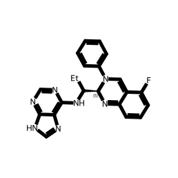 CCC(Nc1ncnc2[nH]cnc12)[C@@H]1N=c2cccc(F)c2=CN1c1ccccc1